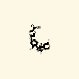 CC(c1ccc(Oc2cnc(C(=O)O)cn2)cc1Cl)C(O)(c1ccnc(Cl)c1)C(F)(F)F